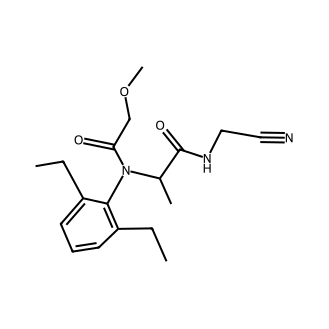 CCc1cccc(CC)c1N(C(=O)COC)C(C)C(=O)NCC#N